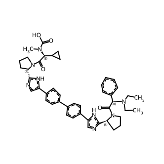 CCN(CC)[C@@H](C(=O)N1CCC[C@H]1c1ncc(-c2ccc(-c3ccc(-c4cnc([C@@H]5CCCN5C(=O)[C@H](C5CC5)N(C)C(=O)O)[nH]4)cc3)cc2)[nH]1)c1ccccc1